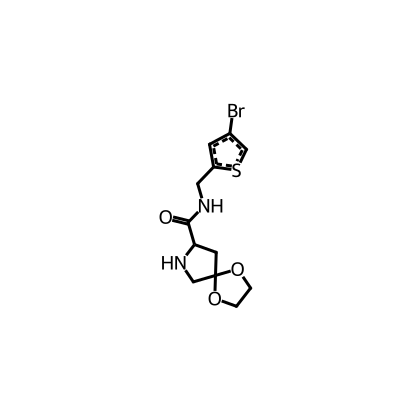 O=C(NCc1cc(Br)cs1)C1CC2(CN1)OCCO2